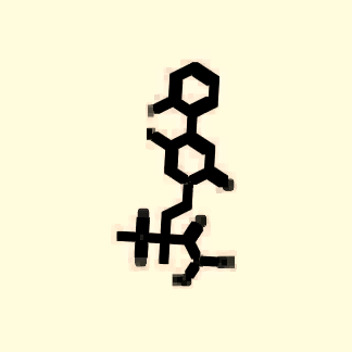 CC(CCn1cc(F)c(-c2ccccc2F)cc1=O)(C(=O)N(O)O)S(C)(=O)=O